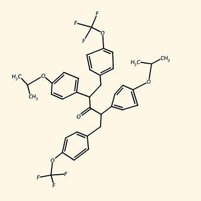 CC(C)Oc1ccc(C(Cc2ccc(OC(F)(F)F)cc2)C(=O)C(Cc2ccc(OC(F)(F)F)cc2)c2ccc(OC(C)C)cc2)cc1